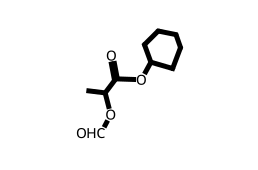 CC(OC=O)C(=O)OC1CCCCC1